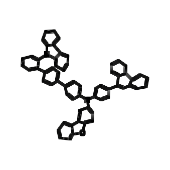 c1ccc(-n2c3ccccc3c3ccccc32)c(-c2ccc(-c3ccc(N(c4ccc(-c5cc6ccccc6c6ccccc56)cc4)c4ccc5oc6ccccc6c5c4)cc3)cc2)c1